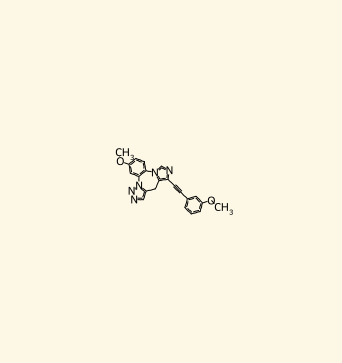 COc1cccc(C#Cc2ncn3c2Cc2cnnn2-c2cc(OC)ccc2-3)c1